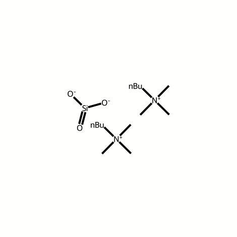 CCCC[N+](C)(C)C.CCCC[N+](C)(C)C.O=[Si]([O-])[O-]